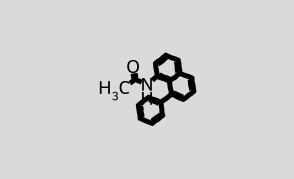 CC(=O)Nc1cccc2cccc(-c3ccccc3)c12